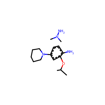 CC(C)Oc1cc(N2CCCCC2)ccc1N.CN(C)N